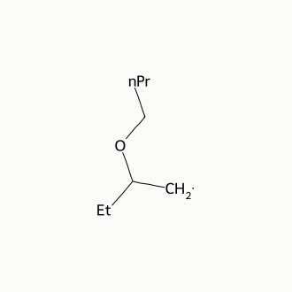 [CH2]CC([CH2])OCCCC